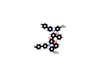 Cc1ccc(-c2ccc(N(c3ccc(C(C)(C)C)cc3)c3cc4oc5cc(N(c6ccc(-c7ccc(C)cc7)cc6)c6ccc(C(C)(C)C)cc6)c6c7ccccc7oc6c5c4c4c3oc3ccccc34)cc2)cc1